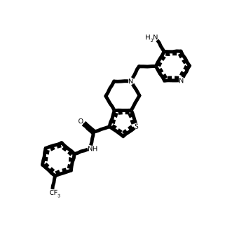 Nc1ccncc1CN1CCc2c(C(=O)Nc3cccc(C(F)(F)F)c3)csc2C1